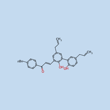 C=CCc1ccc(O)c(-c2cc(CC=C)cc(C=CC(=O)c3ccc(CCCC)cc3)c2O)c1